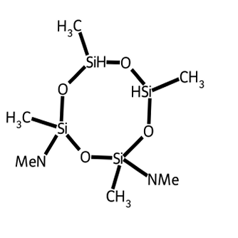 CN[Si]1(C)O[SiH](C)O[SiH](C)O[Si](C)(NC)O1